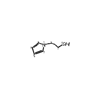 SCCn1cccc1